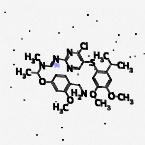 COc1cc(OC(C)N(C)/C=N/c2ncc(Sc3cc(OC)c(OC)cc3C(C)C)c(Cl)n2)ccc1CN